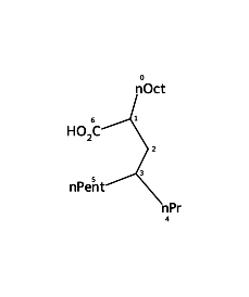 CCCCCCCCC(CC(CCC)CCCCC)C(=O)O